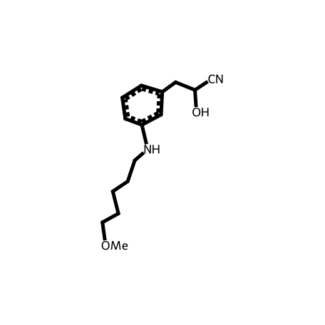 COCCCCCNc1cccc(CC(O)C#N)c1